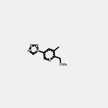 COCc1ncc(-n2cnnn2)cc1C